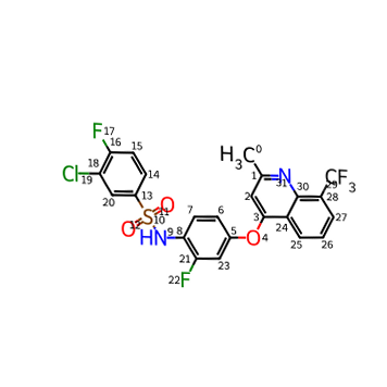 Cc1cc(Oc2ccc(NS(=O)(=O)c3ccc(F)c(Cl)c3)c(F)c2)c2cccc(C(F)(F)F)c2n1